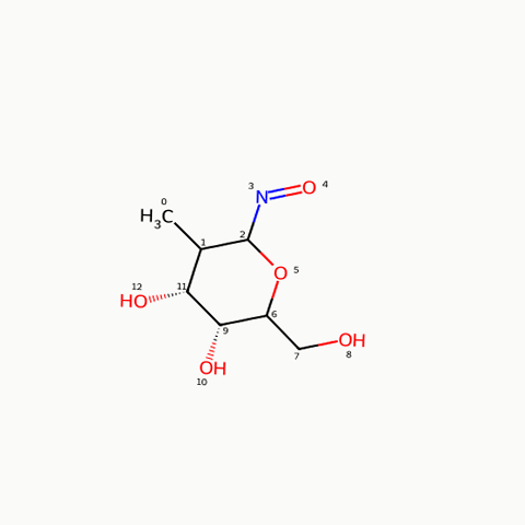 CC1C(N=O)OC(CO)[C@H](O)[C@@H]1O